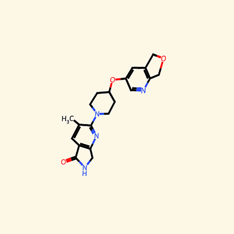 Cc1cc2c(nc1N1CCC(Oc3cnc4c(c3)COC4)CC1)CNC2=O